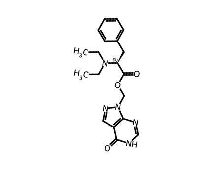 CCN(CC)[C@@H](Cc1ccccc1)C(=O)OCn1ncc2c(=O)[nH]cnc21